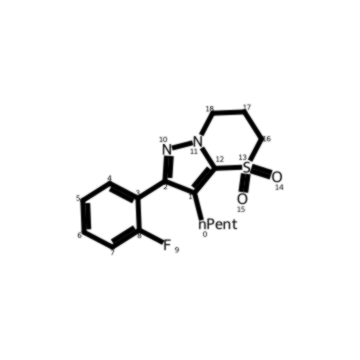 CCCCCc1c(-c2ccccc2F)nn2c1S(=O)(=O)CCC2